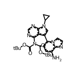 CC(C)(C)OC(=O)N(C(=O)OC(C)(C)C)c1ncnc2c1c(-c1ccc(N)c3nccn13)cn2C1CC1